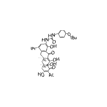 CC(=O)C1=C(O)C[C@@]2(C)C[C@@]3(C)Cc4c(C(C)C)cc(NC(=O)Nc5ccc(OC(C)(C)C)cc5)c(O)c4C(=O)C3=C(O)[C@@]2(O)C1=O